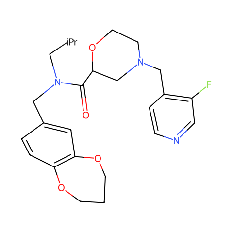 CC(C)CN(Cc1ccc2c(c1)OCCCO2)C(=O)C1CN(Cc2ccncc2F)CCO1